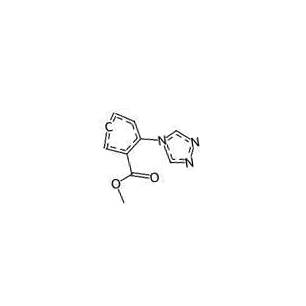 COC(=O)c1ccccc1-n1cnnc1